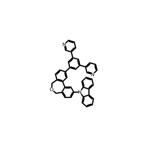 c1cncc(-c2cc(-c3cccnc3)cc(-c3ccc4c(c3)-c3cc(-n5c6ccccc6c6ccccc65)ccc3COC4)c2)c1